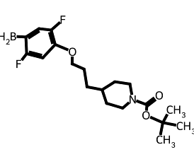 Bc1cc(F)c(OCCCC2CCN(C(=O)OC(C)(C)C)CC2)cc1F